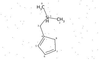 C[SiH](C)CC1=CC=CC1